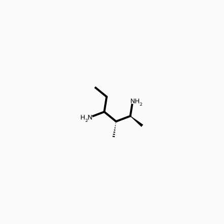 CCC(N)[C@@H](C)[C@H](C)N